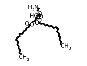 CCCCCCCC/C=C\CCCCCCCC(=O)OCC(COP(=O)(O)OCCN)OC(=O)CCCCCCC/C=C\CCCCCCCC